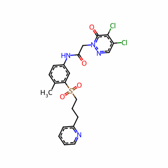 Cc1ccc(NC(=O)Cn2ncc(Cl)c(Cl)c2=O)cc1S(=O)(=O)CCCc1ccccn1